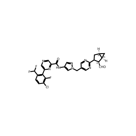 O=C[C@H]1C(c2ncc(Cn3cc(NC(=O)c4cncc(-c5c(C(F)F)ccc(Cl)c5F)n4)cn3)cn2)C[C@H]2C[C@H]21